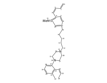 C=C/C=C\c1ccc(CCCCCN2CCN(c3cccc(C)c3/C=C\C)CC2)cc1NC